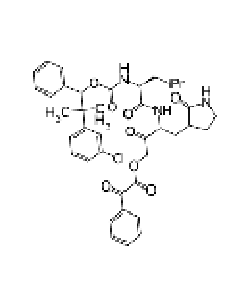 CC(C)C[C@H](NC(=O)OC(c1ccccc1)C(C)(C)c1cccc(Cl)c1)C(=O)NC(CC1CCNC1=O)C(=O)COC(=O)C(=O)c1ccccc1